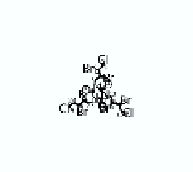 O=c1n(CC(Br)C(Br)CCl)c(=O)n(CC(Br)C(Br)CCl)c(=O)n1CC(Br)C(Br)CCl